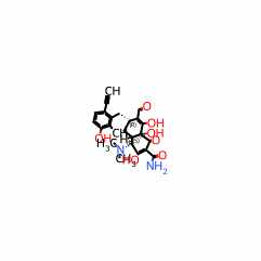 C#Cc1ccc(O)c(C)c1C[C@H]1C[C@H]2[C@@H](N(C)C)C(O)=C(C(N)=O)C(=O)[C@@]2(O)C(O)=C1C=O